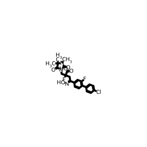 CN1C(=O)N(CC(F)(CC(=NO)c2ccc(-c3ccc(Cl)cc3)c(F)c2)C(=O)O)C(=O)C1(C)C